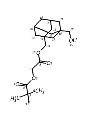 CC(C)(F)C(=O)OCC(=O)OCC12CC3CC(CC(CO)(C3)C1)C2